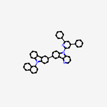 c1ccc(-c2cc(-c3ccccc3)nc(-n3c4ccc(-c5ccc6c(c5)c5ccccc5n6-c5cccc6ccccc56)cc4c4ncccc43)c2)cc1